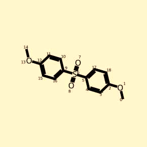 COc1[c]cc(S(=O)(=O)c2ccc(OC)cc2)cc1